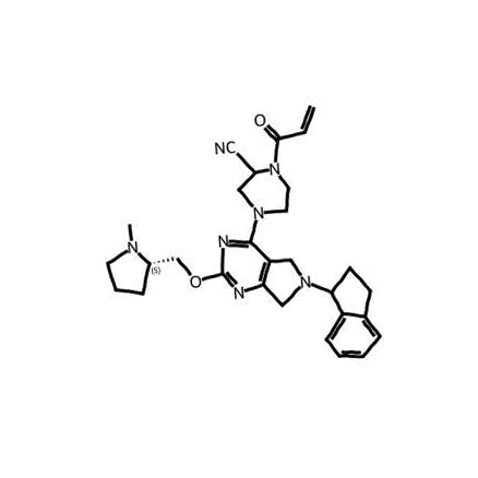 C=CC(=O)N1CCN(c2nc(OC[C@@H]3CCCN3C)nc3c2CN(C2CCc4ccccc42)C3)CC1C#N